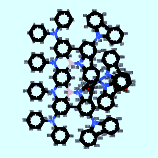 c1ccc(N(c2ccccc2)c2cc3c4c(c2)N(c2ccccc2)c2cc5c(cc2B4n2c4ccc(-n6c7ccccc7c7ccccc76)cc4c4cc(-n6c7ccccc7c7ccccc76)cc-3c42)B2c3c(cc(N(c4ccccc4)c4ccccc4)cc3N5c3ccccc3)-c3cc(-n4c5ccccc5c5ccccc54)cc4c5cc(-n6c7ccccc7c7ccccc76)ccc5n2c34)cc1